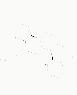 Cc1cccnc1[C@@H]1C(C)[C@@H](O)C[C@H](c2ccccn2)N1CCCCN